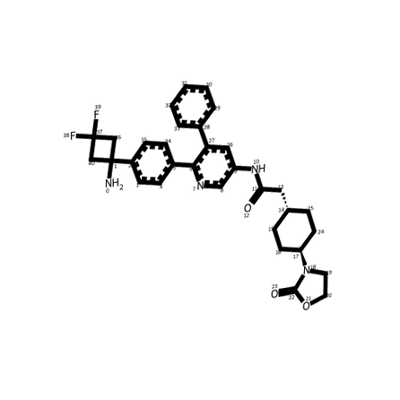 NC1(c2ccc(-c3ncc(NC(=O)C[C@H]4CC[C@H](N5CCOC5=O)CC4)cc3-c3ccccc3)cc2)CC(F)(F)C1